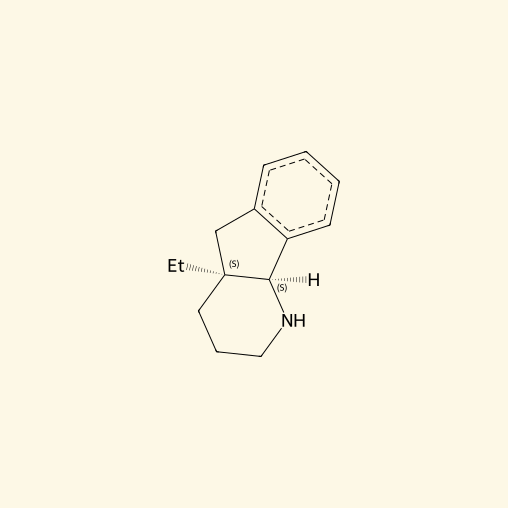 CC[C@@]12CCCN[C@@H]1c1ccccc1C2